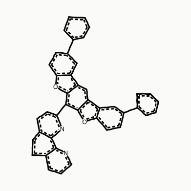 c1ccc(-c2ccc3oc4c(-c5ccc6ccc7cccnc7c6n5)c5oc6ccc(-c7ccccc7)cc6c5cc4c3c2)cc1